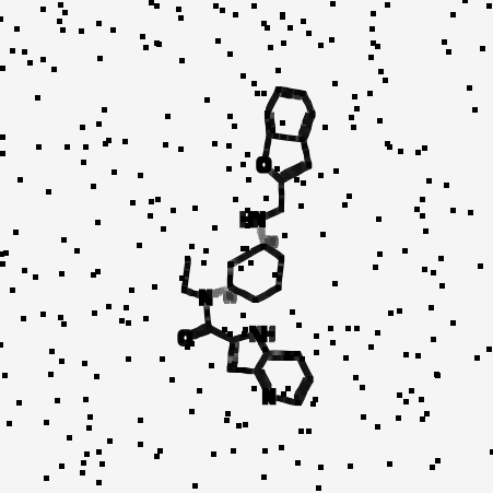 CCN(C(=O)c1cc2ncccc2[nH]1)[C@H]1CCC[C@@H](NCc2cc3ccccc3o2)C1